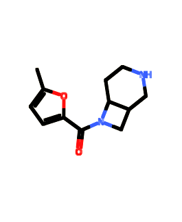 Cc1ccc(C(=O)N2CC3CNCCC32)o1